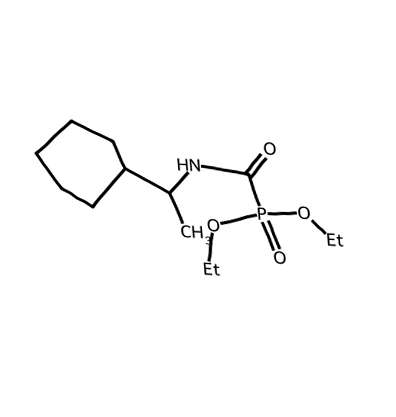 CCOP(=O)(OCC)C(=O)NC(C)C1CCCCC1